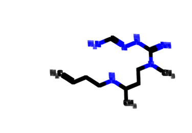 C=CCCNC(C)CCN(C)C(=N)N/N=C/N